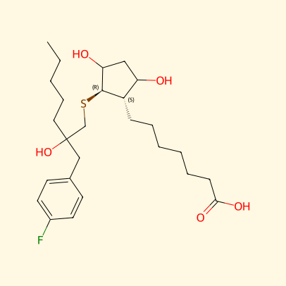 CCCCCC(O)(CS[C@H]1C(O)CC(O)[C@@H]1CCCCCCC(=O)O)Cc1ccc(F)cc1